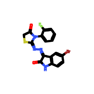 O=C1Nc2ccc(Br)cc2C1=NN=C1SCC(=O)N1c1ccccc1F